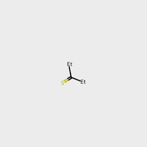 [CH]CC(=S)C[CH2]